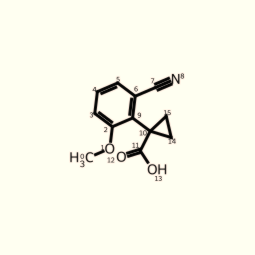 COc1cccc(C#N)c1C1(C(=O)O)CC1